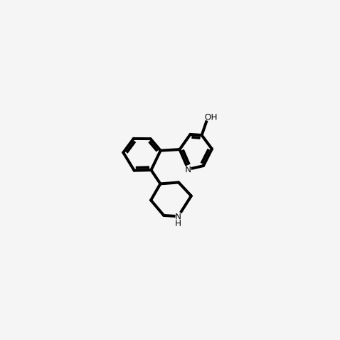 Oc1ccnc(-c2ccccc2C2CCNCC2)c1